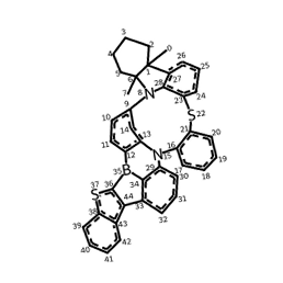 CC12CCCCC1(C)N1c3ccc4c(c3)N(c3ccccc3Sc3cccc2c31)c1cccc2c1B4c1sc3ccccc3c1-2